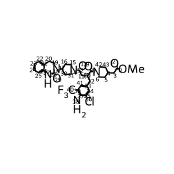 COC(=O)CC1CCN(C(=O)[C@H](CC(=O)N2CCC(N3CCc4ccccc4NC3=O)CC2)Cc2cc(Cl)c(N)c(C(F)(F)F)c2)CC1